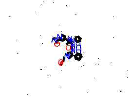 COCCN1C[C@@H](NC(=O)Nc2c(C)c(-c3ccnc(C(=O)N(C)C)c3)nn2-c2ccccc2)[C@H](c2ccccc2)C1